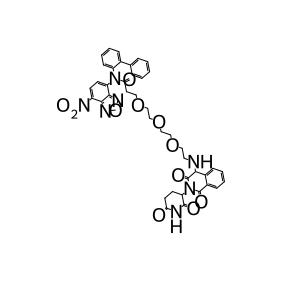 O=C1CCC(N2C(=O)c3ccccc3C(NCCOCCOCCOCCC(=O)N(c3ccccc3-c3ccccc3)c3ccc([N+](=O)[O-])c4nonc34)C2=O)C(=O)N1